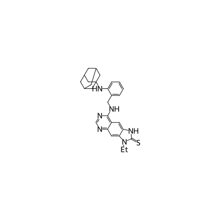 CCn1c(=S)[nH]c2cc3c(NCc4ccccc4NC45CC6CC(CC(C6)C4)C5)ncnc3cc21